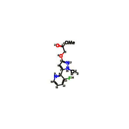 COC(=O)COc1cc(-c2ncccc2F)n(C)n1